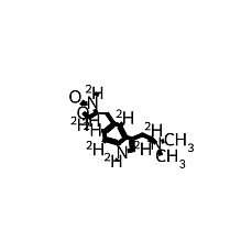 [2H]c1c(C[C@@H]2N([2H])C(=O)OC2([2H])[2H])c([2H])c2c(CC([2H])([2H])N(C)C)cn([2H])c2c1[2H]